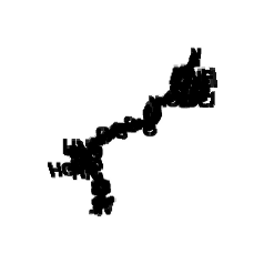 COc1cc(Nc2c(C#N)cnc3cc(OCCCN4CCN(C(=O)CCOCCOCCOCCC(=O)NC(C(=O)N5C[C@H](O)C[C@H]5C(=O)NCc5ccc(-c6scnc6C)cc5)C(C)(C)C)CC4)c(OC)cc23)c(Cl)cc1Cl